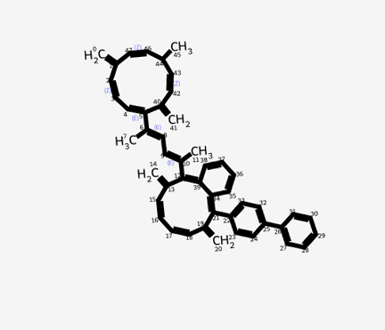 C=C1\C=C/C=C(/C(C)=C/C=C(\C)c2c(=C)ccccc(=C)c(-c3ccc(-c4ccccc4)cc3)c3ccccc23)C(=C)/C=C\C(C)/C=C\1